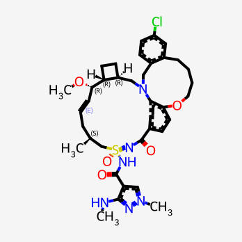 CNc1nn(C)cc1C(=O)NS1(=O)=NC(=O)c2ccc3c(c2)N(Cc2ccc(Cl)cc2CCCCO3)C[C@@H]2CC[C@H]2[C@@H](OC)/C=C/C[C@H](C)C1